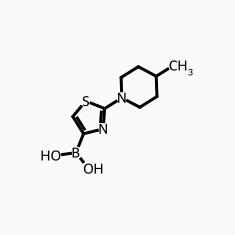 CC1CCN(c2nc(B(O)O)cs2)CC1